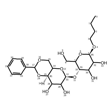 CCCCO[C@@H]1OC(CO)[C@@H](O[C@@H]2OC3COC(c4ccccc4)O[C@@H]3C(O)C2O)C(O)C1O